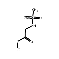 CCOC(=O)CNS(C)(=O)=O